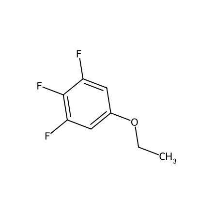 CCOc1cc(F)c(F)c(F)c1